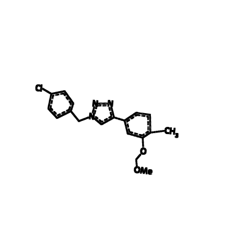 COCOc1cc(-c2cn(Cc3ccc(Cl)cc3)nn2)ccc1C